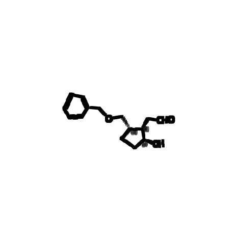 O=CC[C@@H]1[C@@H](COCc2ccccc2)CC[C@@H]1O